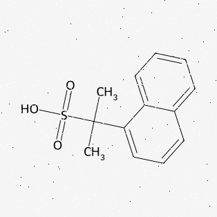 CC(C)(c1cccc2ccccc12)S(=O)(=O)O